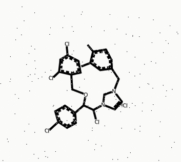 Cc1ccc(CN2C=CN(C(Cl)C(OCc3ccc(Cl)cc3Cl)c3ccc(Cl)cc3)C2)cc1C.Cl